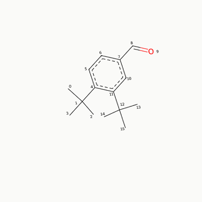 CC(C)(C)c1ccc(C=O)cc1C(C)(C)C